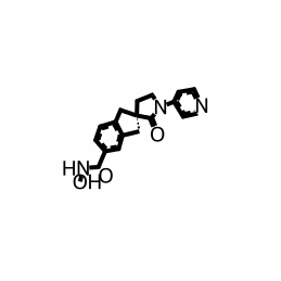 O=C(NO)c1ccc2c(c1)C[C@@]1(CCN(c3ccncc3)C1=O)C2